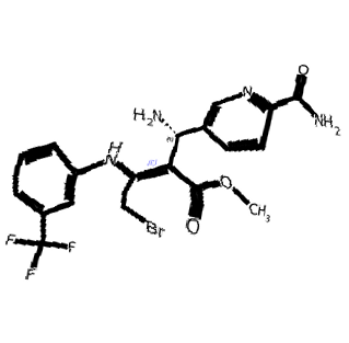 COC(=O)/C(=C(\CBr)Nc1cccc(C(F)(F)F)c1)[C@H](N)c1ccc(C(N)=O)nc1